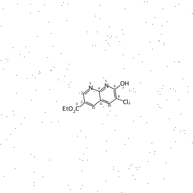 CCOC(=O)c1cnc2nc(O)c(Cl)cc2c1